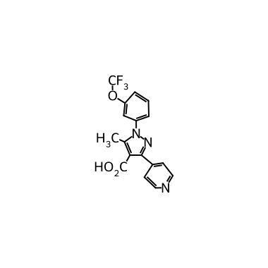 Cc1c(C(=O)O)c(-c2ccncc2)nn1-c1cccc(OC(F)(F)F)c1